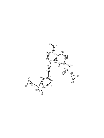 CN=c1[nH]cc(C#Cc2ccc3nnn(C4CC4)c3c2)c2cc(NC(=O)C3CC3)ncc12